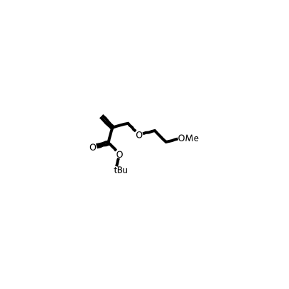 C=C(COCCOC)C(=O)OC(C)(C)C